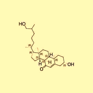 CC(CO)CCC[C@@H](C)[C@H]1CC[C@H]2[C@@H]3C(=O)C=C4C[C@@H](O)CC[C@]4(C)[C@H]3CC[C@]12C